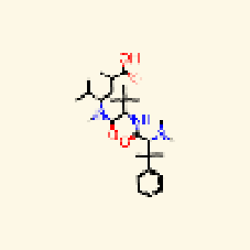 C/C(=C\[C@H](C(C)C)N(C)C(=O)C(NC(=O)C(N(C)C)C(C)(C)c1ccccc1)C(C)(C)C)C(=O)O